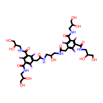 O=C(Cc1c(I)c(C(=O)NCC(O)CO)c(I)c(C(=O)NCC(O)CO)c1I)NCC(O)CNC(=O)Cc1c(I)c(C(=O)NCC(O)CO)c(I)c(C(=O)NCC(O)CO)c1I